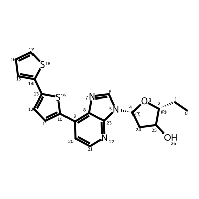 CC[C@H]1O[C@@H](n2cnc3c(-c4ccc(-c5cccs5)s4)ccnc32)CC1O